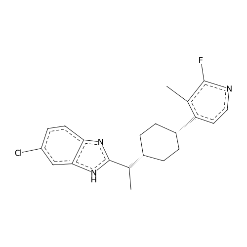 Cc1c(F)nccc1[C@H]1CC[C@@H](C(C)c2nc3ccc(Cl)cc3[nH]2)CC1